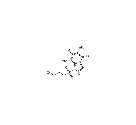 CCCCn1c(=O)c2n[nH]c(S(=O)(=O)CCCCl)c2n(CCCC)c1=O